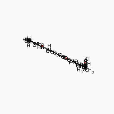 CC(C)n1cnc2c(NCc3ccc(Cl)cc3)nc(NCCNC(=O)CCC(=O)NCCOCCOCCOCCOCCOCCOCCOCCOCCNC(=O)CCCCCNC(=O)CCCCCNC(=O)CCCC[C@@H]3SC[C@@H]4NC(=O)N[C@@H]43)nc21